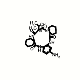 CC(C)[C@]1(C)C(=O)NC2(CCCCC2)C(=O)Nc2ccc(N)cc2NC(=O)C2(CCCCC2)NC1=O